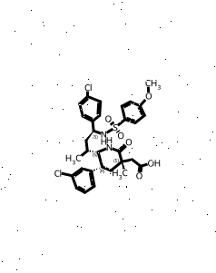 COc1ccc(S(=O)(=O)N[C@@H](CC(C)[C@@H]2NC(=O)[C@](C)(CC(=O)O)C[C@@H]2c2cccc(Cl)c2)c2ccc(Cl)cc2)cc1